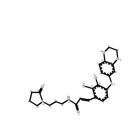 O=C(C=Cc1ccc(Sc2ccc3c(c2)OCCO3)c(Cl)c1Cl)NCCCN1CCCC1=O